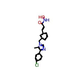 Cc1c(-c2ccc(Cl)cc2)ncn1Cc1cccc(/C=C/C(=O)NO)c1